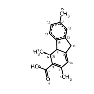 CC1=C(C(=O)O)[C@@H](C)C2C(=C1)Cc1cc(C)ccc12